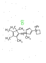 CCC[Si]1(C2=C[C](C)([Hf+2][C]3=C(C)C(C)=C(C)C3(C)C)C=C2)CCC1.[Cl-].[Cl-]